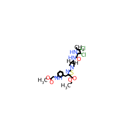 CCOC(=O)c1sc(N2C[C@@H]3C(NC(=O)c4[nH]c(C)c(Cl)c4Cl)[C@@H]3C2)nc1Cc1cccc(NCC(=O)OC)c1